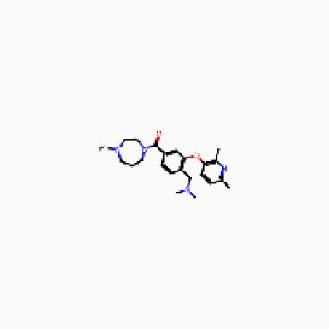 Cc1ccc(Oc2cc(C(=O)N3CCCN(C(C)C)CC3)ccc2CN(C)C)c(C)n1